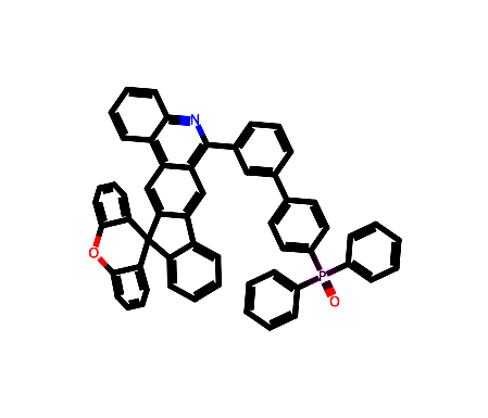 O=P(c1ccccc1)(c1ccccc1)c1ccc(-c2cccc(-c3nc4ccccc4c4cc5c(cc34)-c3ccccc3C53c4ccccc4Oc4ccccc43)c2)cc1